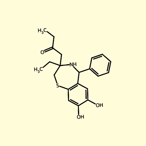 CCC(=O)CC1(CC)CSc2cc(O)c(O)cc2C(c2ccccc2)N1